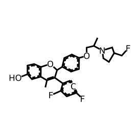 CC1=C(c2ccc(F)cc2F)C(c2ccc(OCC(C)N3CCC(CF)C3)cc2)Oc2ccc(O)cc21